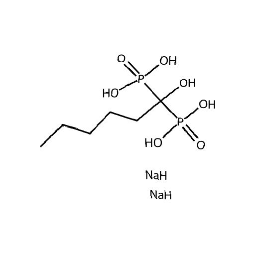 CCCCCC(O)(P(=O)(O)O)P(=O)(O)O.[NaH].[NaH]